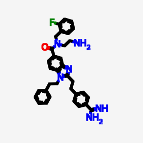 N=C(N)c1ccc(CCc2nc3cc(C(=O)N(CCN)Cc4ccccc4F)ccc3n2CCc2ccccc2)cc1